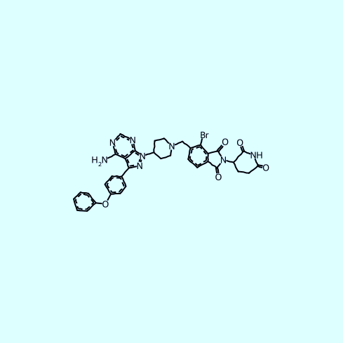 Nc1ncnc2c1c(-c1ccc(Oc3ccccc3)cc1)nn2C1CCN(Cc2ccc3c(c2Br)C(=O)N(C2CCC(=O)NC2=O)C3=O)CC1